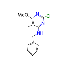 COc1nc(Cl)nc(NCc2ccccc2)c1C